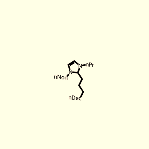 CCCCCCCCCCCCCC1N(CCC)C=CN1CCCCCCCCC